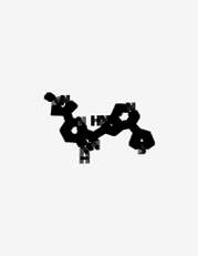 Cn1cc(-c2ccc3[nH]nc(-c4cc5c(-c6ccsc6)cncc5[nH]4)c3n2)cn1